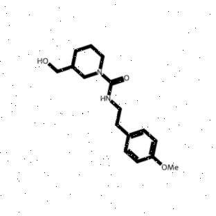 COc1ccc(CCNC(=O)N2CCCC(CO)C2)cc1